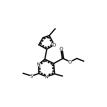 CCOC(=O)c1c(C)nc(SC)nc1-c1ccc(C)o1